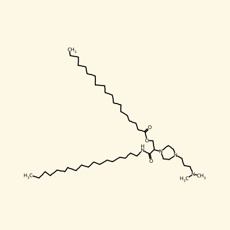 CCCCCCCCCCCCCCCCCCNC(=O)C(COC(=O)CCCCCCCCCCCCCCCCCC)N1CCN(CCCN(C)C)CC1